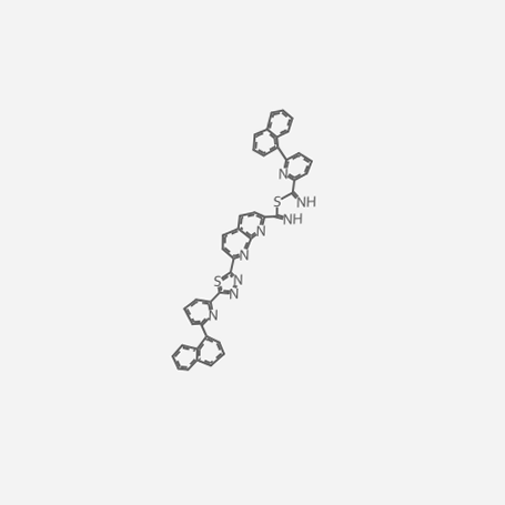 N=C(SC(=N)c1ccc2ccc(-c3nnc(-c4cccc(-c5cccc6ccccc56)n4)s3)nc2n1)c1cccc(-c2cccc3ccccc23)n1